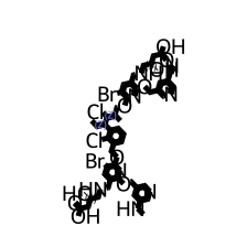 C/C=C(\C(Cl)=C(/C)COc1nc(OCc2cncc(C#N)c2)c(CNC[C@@H](O)CC(=O)O)cc1Br)c1cccc(COc2nc(OCc3cncc(NC)c3)c(CNC[C@@H](O)CC(=O)O)cc2Br)c1Cl